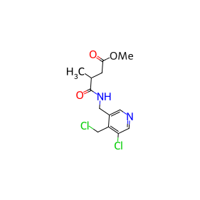 COC(=O)CC(C)C(=O)NCc1cncc(Cl)c1CCl